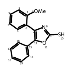 COc1ccccc1-c1nc(S)oc1-c1ccccc1